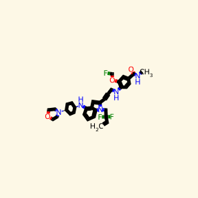 C=CC(F)(F)Cn1c(C#CCNc2ccc(C(=O)NC)cc2OCF)cc2c(N[C@H]3CC[C@@H](N4CCOCC4)CC3)cccc21